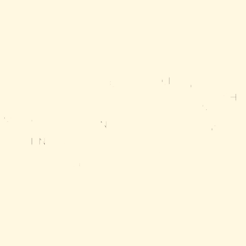 CS(=O)(=O)c1ccc2c(c1C(F)(F)F)C(=O)N(C1CCC(=O)NC1=O)C2